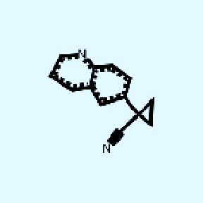 N#CC1(c2ccc3ncccc3c2)CC1